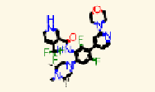 C[C@@H]1CN(c2cc(F)c(-c3ccnc(N4CCOCC4)c3)c(F)c2NC(=O)C2=CNCC=C2C(F)(F)F)C[C@H](C)N1C